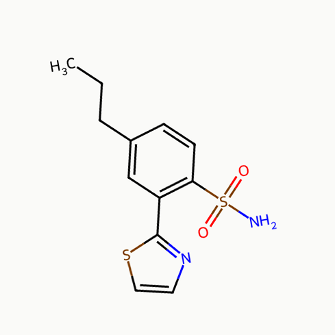 CCCc1ccc(S(N)(=O)=O)c(-c2nccs2)c1